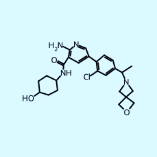 CC(c1ccc(-c2cnc(N)c(C(=O)NC3CCC(O)CC3)c2)c(Cl)c1)N1CC2(COC2)C1